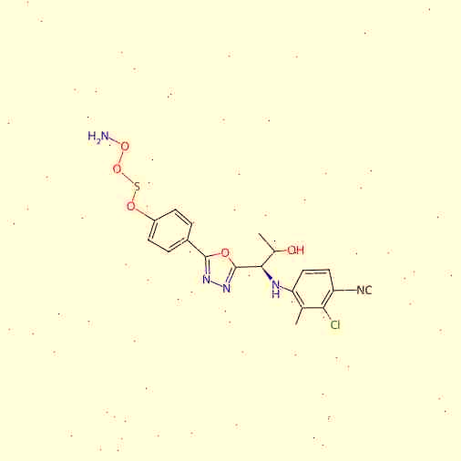 [C-]#[N+]c1ccc(N[C@@H](c2nnc(-c3ccc(OSOON)cc3)o2)C(C)O)c(C)c1Cl